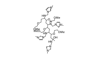 COCCOCCC(NCn1cc[n+](C)c1)C(CC(NCn1cc[n+](C)c1)C(CC(NCn1cc[n+](C)c1)C(CC(C)(O)NCn1cc[n+](C)c1)OCCOC)OCCOC)OCCOC